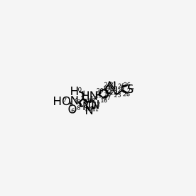 CCc1c(NC(=O)O)cn2ncnc(Nc3ccc4c(cnn4Cc4ccsc4)c3)c12